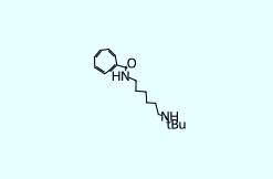 CC(C)(C)NCCCCCCNC(=O)C1=C/C=C\C=C/C=C\1